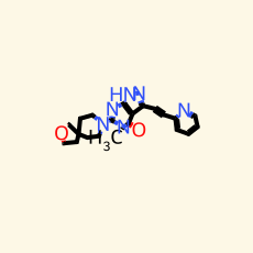 Cn1c(N2CCC3(CCOC3)CC2)nc2[nH]nc(C#Cc3ccccn3)c2c1=O